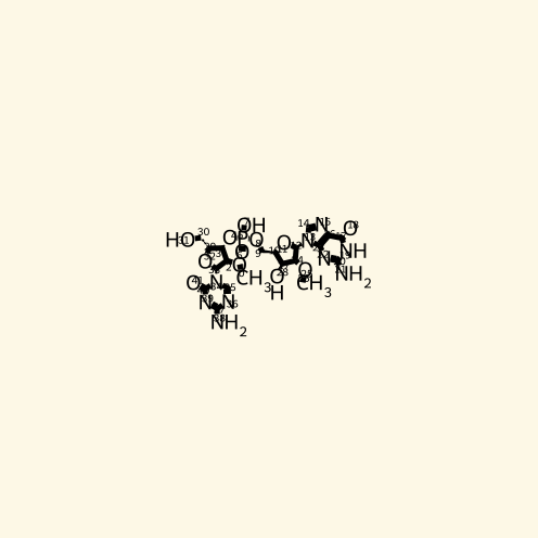 COC1[C@@H](OP(=O)(O)OC[C@H]2O[C@@H](n3cnc4c(=O)[nH]c(N)nc43)C(OC)[C@H]2O)[C@@H](CO)O[C@H]1n1cnc(N)nc1=O